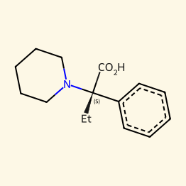 CC[C@@](C(=O)O)(c1ccccc1)N1CCCCC1